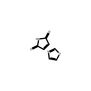 O=C1C=CC(=O)N1.c1cocn1